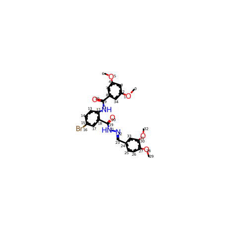 COc1cc(OC)cc(C(=O)Nc2ccc(Br)cc2C(=O)N/N=C/c2ccc(OC)c(OC)c2)c1